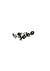 CC(C)C[C@@H](CN(O)C=O)C(=O)N1CCN(c2ccc(-c3ccccc3)cc2)CC1